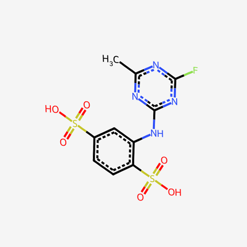 Cc1nc(F)nc(Nc2cc(S(=O)(=O)O)ccc2S(=O)(=O)O)n1